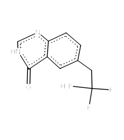 O=c1[nH]cnc2ccc(CC(F)(F)P)cc12